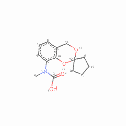 CN(C(=O)O)c1cccc2c1OC1(CCCC1)OC2